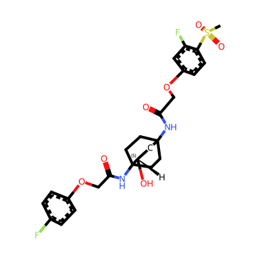 CS(=O)(=O)c1ccc(OCC(=O)NC23CCC(NC(=O)COc4ccc(F)cc4)(CC2)[C@@H](O)C3)cc1F